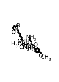 COCc1ccc(NC(=O)[C@H](CCCN)N(N)/C=C(\N)[C@@H](NC(=O)CCCCCN2C(=O)C=CC2=O)C(C)C)cc1